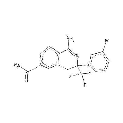 NC(=O)c1ccc2c(c1)CC(c1cccc(Br)c1)(C(F)(F)F)N=C2N